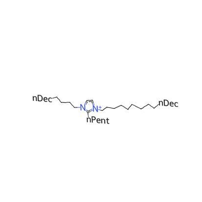 CCCCCCCCCCCCCCCCCCC[n+]1ccn(CCCCCCCCCCCCCC)c1CCCCC